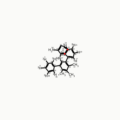 [2H]c1c([2H])c([2H])c(-c2c(C)c(C)c(C)c(-c3c([2H])c([2H])c([2H])c([2H])c3[2H])c2Nc2ccccc2N)c([2H])c1[2H]